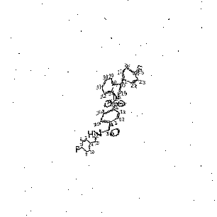 O=C(NCc1ccc(F)cc1)c1ccc(S(=O)(=O)n2cc(-c3ccc(F)cc3)c3ccccc32)cc1